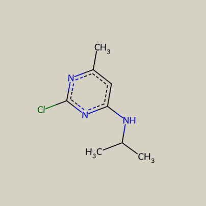 Cc1cc(NC(C)C)nc(Cl)n1